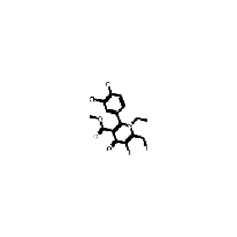 CCn1c(CI)c(I)c(=O)c(C(=O)OC)c1-c1ccc(Cl)c(Cl)c1